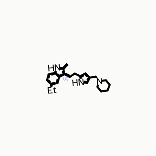 C=c1[nH]c2ccc(CC)cc2/c1=C/Cc1cc(CN2CCCCC2)c[nH]1